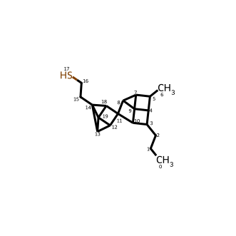 CCCC1C2C(C)C3C4C23C1C41C2C3C4(CCS)C1C234